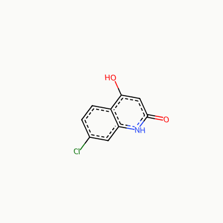 O=c1cc(O)c2ccc(Cl)cc2[nH]1